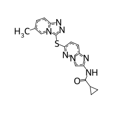 Cc1ccc2nnc(Sc3ccc4nc(NC(=O)C5CC5)cn4n3)n2c1